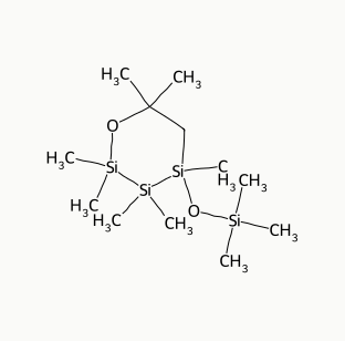 CC1(C)C[Si](C)(O[Si](C)(C)C)[Si](C)(C)[Si](C)(C)O1